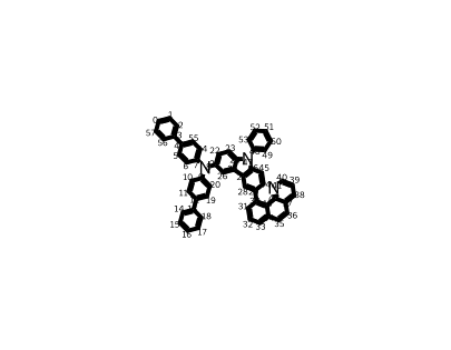 c1ccc(-c2ccc(N(c3ccc(-c4ccccc4)cc3)c3ccc4c(c3)c3cc(-c5cccc6ccc7cccnc7c56)ccc3n4-c3ccccc3)cc2)cc1